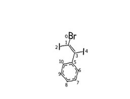 Br/C(I)=C(\I)c1ccccc1